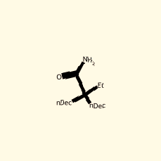 CCCCCCCCCCC(CC)(CCCCCCCCCC)C(N)=O